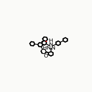 C1=CC(c2cc(-c3ccccc3)cc(-c3ccccc3)c2)Cc2c1oc1cccc(C3=NC(c4ccc(-c5ccccc5)cc4)NC(c4ccccc4)N3)c21